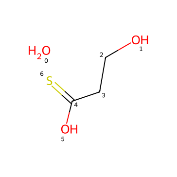 O.OCCC(O)=S